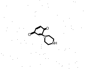 O=C1C=CC(=O)C(N2CCNCC2)=C1